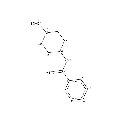 O=CN1CCC(OC(=O)c2ccccc2)CC1